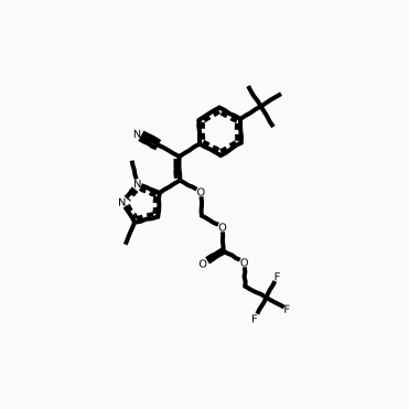 Cc1cc(/C(OCOC(=O)OCC(F)(F)F)=C(\C#N)c2ccc(C(C)(C)C)cc2)n(C)n1